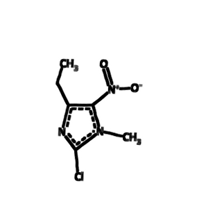 CCc1nc(Cl)n(C)c1[N+](=O)[O-]